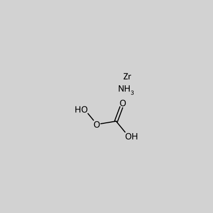 N.O=C(O)OO.[Zr]